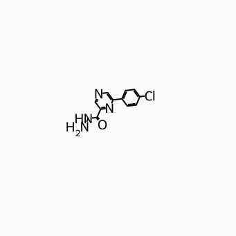 NNC(=O)c1cncc(-c2ccc(Cl)cc2)n1